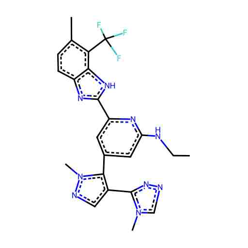 CCNc1cc(-c2c(-c3nncn3C)cnn2C)cc(-c2nc3ccc(C)c(C(F)(F)F)c3[nH]2)n1